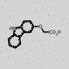 O=C(O)COc1ccc2[nH]c3ccccc3c2c1